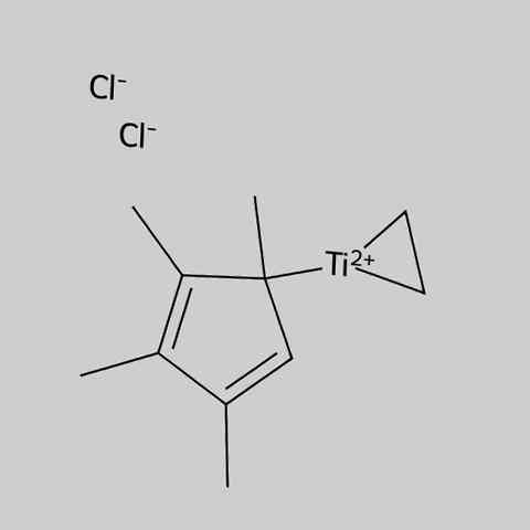 CC1=C[C](C)([Ti+2]2[CH2][CH2]2)C(C)=C1C.[Cl-].[Cl-]